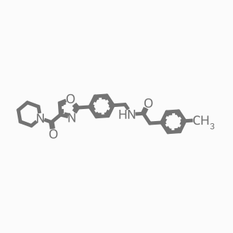 Cc1ccc(CC(=O)NCc2ccc(-c3nc(C(=O)N4CCCCC4)co3)cc2)cc1